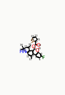 COc1cc(F)ccc1-c1c(C)cc2c(c1COC(=O)C1CC=CS1)C(C)=CC(C)(C)N2